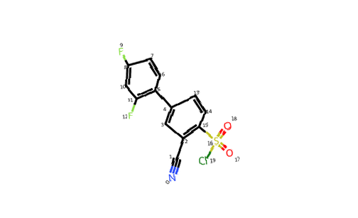 N#Cc1cc(-c2ccc(F)cc2F)ccc1S(=O)(=O)Cl